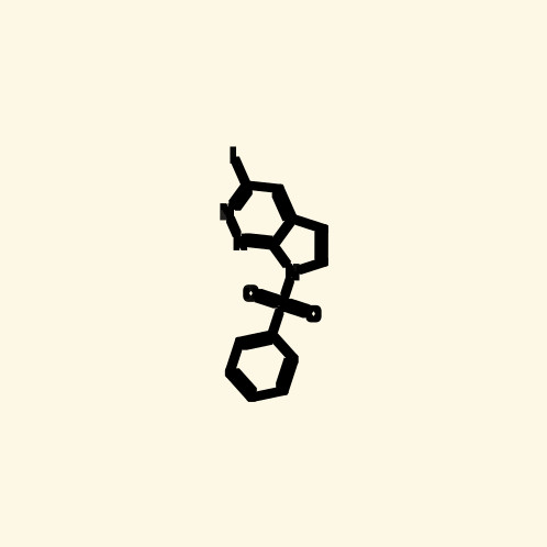 O=S(=O)(c1ccccc1)n1ccc2cc(I)nnc21